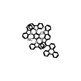 N#Cc1c(-n2c3ccccc3c3ccccc32)c(-n2c3ccccc3c3ccccc32)c(C#N)c(-n2c3cccc(-c4cccc5c6ccccc6c6ccccc6c45)c3c3ccc4c5ccccc5sc4c32)c1-n1c2ccccc2c2ccccc21